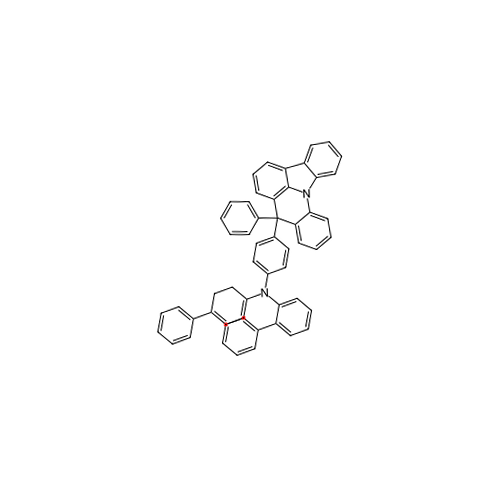 C1=C(c2ccccc2)CCC(N(c2ccc(C3(c4ccccc4)c4ccccc4-n4c5ccccc5c5cccc3c54)cc2)c2ccccc2-c2ccccc2)=C1